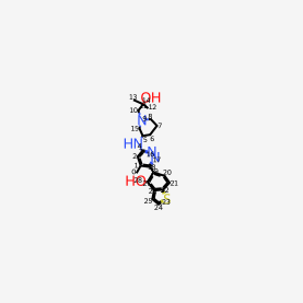 Cc1cc(NC2CCCN(CC(C)(C)O)C2)nnc1-c1ccc2sccc2c1O